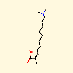 CC(=CCCCCCCCCN(C)C)C(=O)O